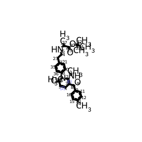 CN/C(=C(/C=C\C=O)C(=O)c1ccc(C)cc1)N(C)c1ccc(CCNC(C)C(=O)OC(C)(C)C)cc1